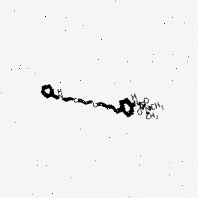 CN(C)S(=O)(=O)Nc1ccc(CCCCOCCCCCCNCc2ccccc2)cc1